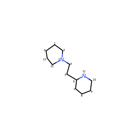 C1CCN(CCC2CCCC[N]2)CC1